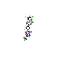 Cc1cc(C2=NOC(c3cc(Cl)cc(Cl)c3)(C(F)(F)F)C2)ccc1C(=O)NC(C)C(=O)NCC(F)(F)F